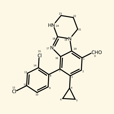 O=Cc1cc(C2CC2)c(-c2ccc(Cl)cc2Cl)c2nc3n(c12)CCCN3